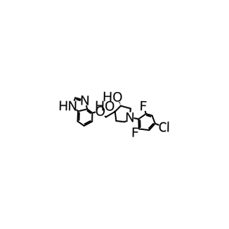 O[C@@H]1CN(c2c(F)cc(Cl)cc2F)CC[C@@]1(O)COc1cccc2[nH]cnc12